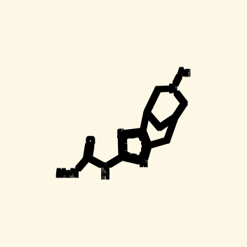 CNC(=O)Nc1nc2c(s1)C1CC(C2)CN(C(C)=O)C1